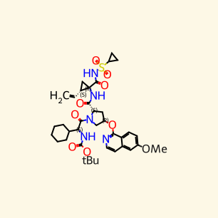 C=C[C@@H]1C[C@]1(NC(=O)[C@@H]1C[C@@H](Oc2nccc3cc(OC)ccc23)CN1C(=O)[C@@H](NC(=O)OC(C)(C)C)C1CCCCC1)C(=O)NS(=O)(=O)C1CC1